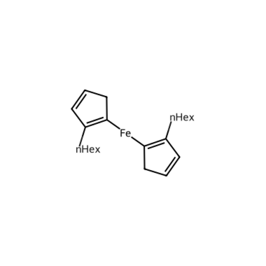 CCCCCCC1=[C]([Fe][C]2=C(CCCCCC)C=CC2)CC=C1